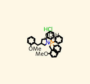 COc1ccccc1CC1C[C@@H](C(=O)O)N(P(Cc2ccccc2OC)(c2ccccc2)(c2ccccc2)c2ccccc2)C1.Cl